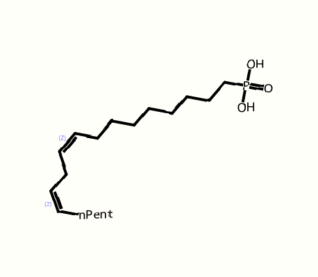 CCCCC/C=C\C/C=C\CCCCCCCCP(=O)(O)O